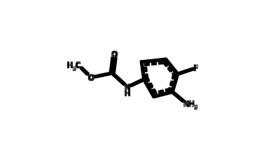 COC(=O)Nc1ccc(F)c(N)c1